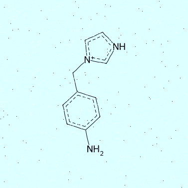 Nc1ccc(C[n+]2cc[nH]c2)cc1